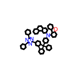 c1ccc(-c2nc(-c3ccccc3)nc(-c3ccc4c(c3)-c3ccccc3C4(c3ccccc3)c3ccc(N(c4ccc5ccc6ccccc6c5c4)c4cccc5oc6ccccc6c45)cc3)n2)cc1